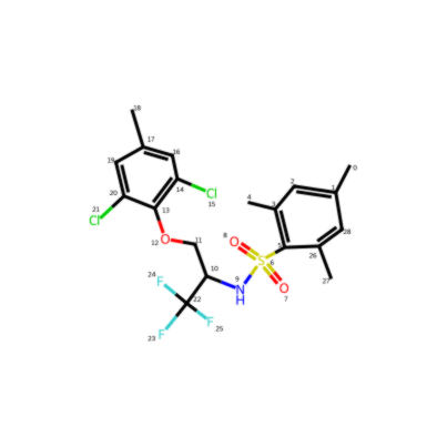 Cc1cc(C)c(S(=O)(=O)NC(COc2c(Cl)cc(C)cc2Cl)C(F)(F)F)c(C)c1